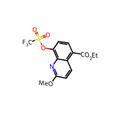 CCOC(=O)c1ccc(OS(=O)(=O)C(F)(F)F)c2nc(OC)ccc12